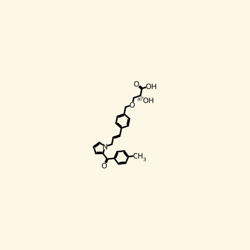 Cc1ccc(C(=O)c2cccn2CC=Cc2ccc(COC[C@@H](O)C(=O)O)cc2)cc1